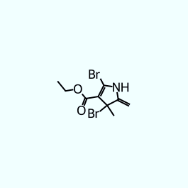 C=C1NC(Br)=C(C(=O)OCC)C1(C)Br